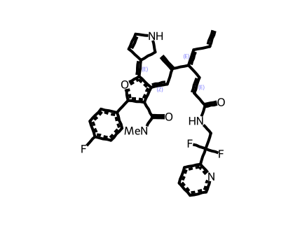 C=C/C=C(\C=C\C(=O)NCC(F)(F)c1ccccn1)C(=C)/C=c1/c(C(=O)NC)c(-c2ccc(F)cc2)o/c1=C1\C=CNC1